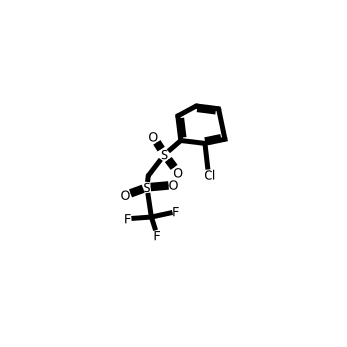 O=S(=O)(CS(=O)(=O)C(F)(F)F)c1ccccc1Cl